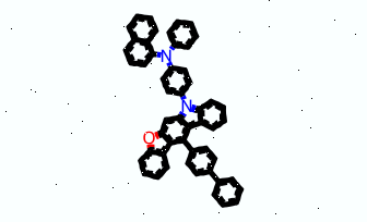 c1ccc(-c2ccc(-c3c4c(cc5c3c3ccccc3n5-c3ccc(N(c5ccccc5)c5cccc6ccccc56)cc3)oc3ccccc34)cc2)cc1